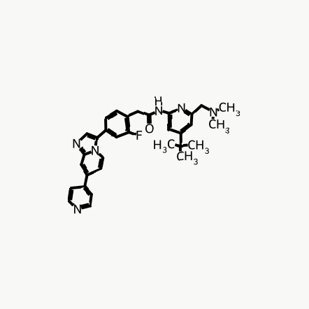 CN(C)Cc1cc(C(C)(C)C)cc(NC(=O)Cc2ccc(-c3cnc4cc(-c5ccncc5)ccn34)cc2F)n1